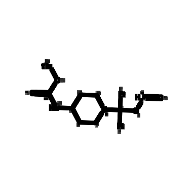 CCC(CC)(O[PH2]=O)N1CCC(NC(=O)OC(C)(C)C)CC1